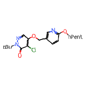 CCCCCOc1ccc(COc2cnn(C(C)(C)C)c(=O)c2Cl)cn1